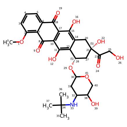 COc1cccc2c1C(=O)c1c(O)c3c(c(O)c1C2=O)C[C@@](O)(C(=O)CO)C[C@@H]3OC1CC(NC(C)(C)C)C(O)CO1